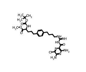 COC(=O)C(CCCc1ccc(CCCCNC(=N)NC(=O)c2nc(Cl)c(N)nc2N)cc1)NC(=O)OC(C)(C)C